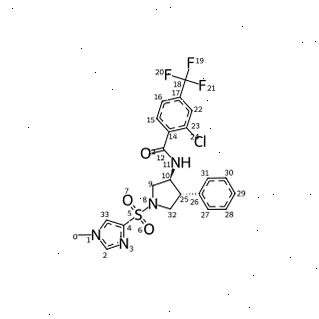 Cn1cnc(S(=O)(=O)N2C[C@@H](NC(=O)c3ccc(C(F)(F)F)cc3Cl)[C@H](c3ccccc3)C2)c1